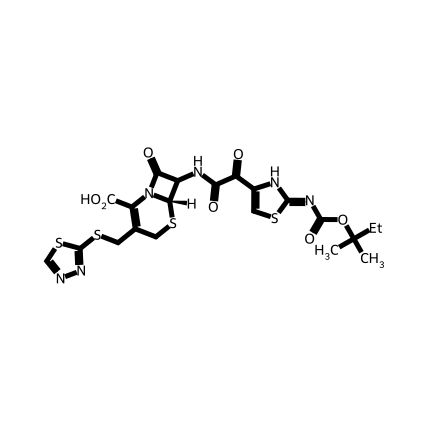 CCC(C)(C)OC(=O)N=c1[nH]c(C(=O)C(=O)NC2C(=O)N3C(C(=O)O)=C(CSc4nncs4)CS[C@@H]23)cs1